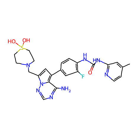 Cc1ccnc(NC(=O)Nc2ccc(-c3cc(CN4CCS(O)(O)CC4)n4ncnc(N)c34)cc2F)c1